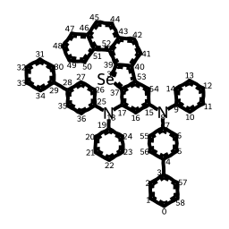 c1ccc(-c2ccc(N(c3ccccc3)c3cc(N(c4ccccc4)c4ccc(-c5ccccc5)cc4)c4[se]c5c(ccc6ccc7ccccc7c65)c4c3)cc2)cc1